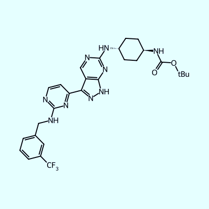 CC(C)(C)OC(=O)N[C@H]1CC[C@H](Nc2ncc3c(-c4ccnc(NCc5cccc(C(F)(F)F)c5)n4)n[nH]c3n2)CC1